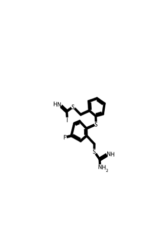 N=C(N)SCc1cc(F)ccc1Sc1ccccc1CSC(=N)I